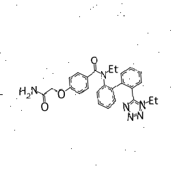 CCN(C(=O)c1ccc(OCC(N)=O)cc1)c1ccccc1-c1ccccc1-c1nnnn1CC